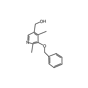 Cc1ncc(CO)c(C)c1OCc1ccccc1